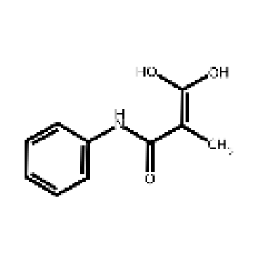 CC(C(=O)Nc1ccccc1)=C(O)O